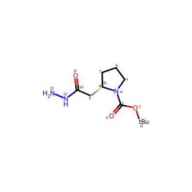 CC(C)(C)OC(=O)N1CCC[C@H]1CC(=O)NN